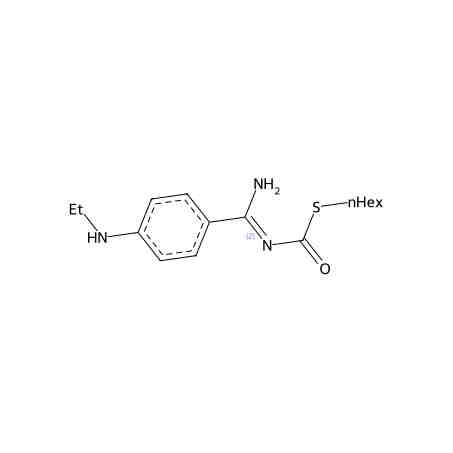 CCCCCCSC(=O)/N=C(\N)c1ccc(NCC)cc1